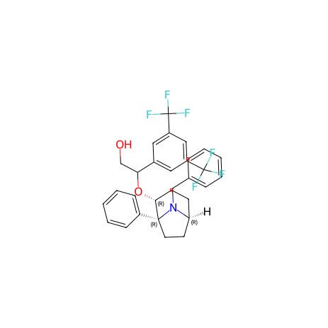 OCC(O[C@@H]1CC[C@H]2CC[C@]1(c1ccccc1)N2Cc1ccccc1)c1cc(C(F)(F)F)cc(C(F)(F)F)c1